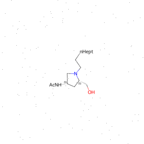 CCCCCCCCCN1C[C@@H](NC(C)=O)C[C@H]1CO